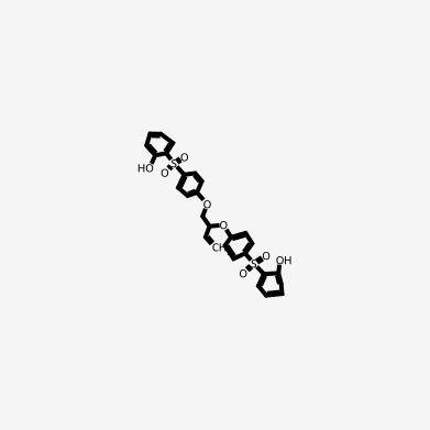 C=CC(COc1ccc(S(=O)(=O)c2ccccc2O)cc1)Oc1ccc(S(=O)(=O)c2ccccc2O)cc1